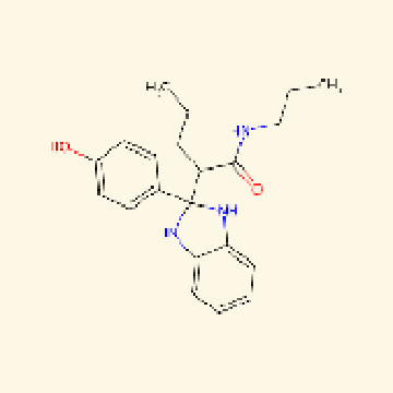 CCCNC(=O)C(CCC)C1(c2ccc(O)cc2)Nc2ccccc2N1